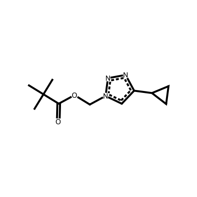 CC(C)(C)C(=O)OCn1cc(C2CC2)nn1